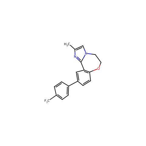 Cc1cn2c(n1)-c1cc(-c3ccc(C(F)(F)F)cc3)ccc1OCC2